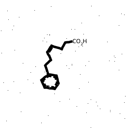 O=C(O)CC/C=C\CCc1ccccc1